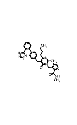 CCCCc1nc(C)n(Cc2ncsc2C(=O)NC)c(=O)c1Cc1ccc(-c2ccccc2-c2nnn[nH]2)cc1